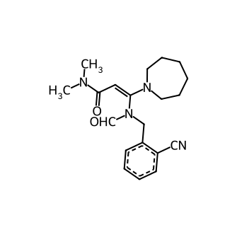 CN(C)C(=O)/C=C(\N(C=O)Cc1ccccc1C#N)N1CCCCCC1